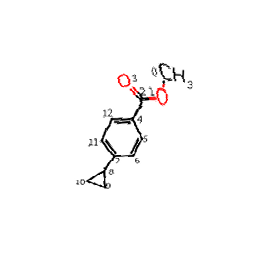 COC(=O)c1ccc([C]2CC2)cc1